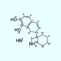 Br.NCC1(C2C=Cc3ccc(O)c(O)c3C2)CCCCC1